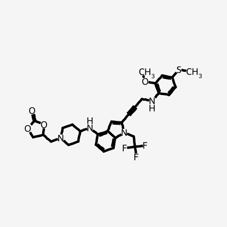 COc1cc(SC)ccc1NCC#Cc1cc2c(NC3CCN(CC4COC(=O)O4)CC3)cccc2n1CC(F)(F)F